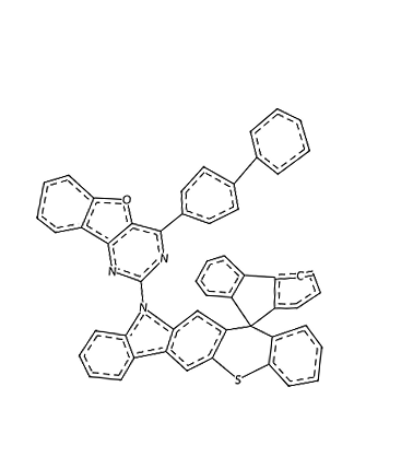 c1ccc(-c2ccc(-c3nc(-n4c5ccccc5c5cc6c(cc54)C4(c5ccccc5S6)c5ccccc5-c5ccccc54)nc4c3oc3ccccc34)cc2)cc1